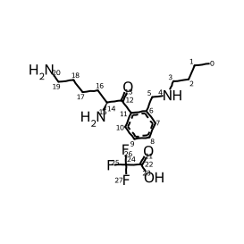 CCCCNCc1ccccc1C(=O)[C@@H](N)CCCCN.O=C(O)C(F)(F)F